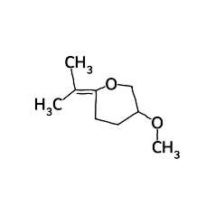 COC1CCC(=C(C)C)OC1